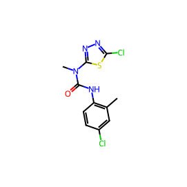 Cc1cc(Cl)ccc1NC(=O)N(C)c1nnc(Cl)s1